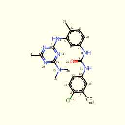 Cc1nc(Nc2cc(NC(=O)Nc3ccc(Cl)c(C(F)(F)F)c3)ccc2C)nc(N(C)C)n1